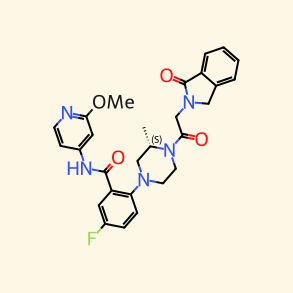 COc1cc(NC(=O)c2cc(F)ccc2N2CCN(C(=O)CN3Cc4ccccc4C3=O)[C@@H](C)C2)ccn1